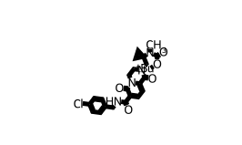 CN(C(=O)OC(C)(C)C)C1(CN2CCn3c(ccc(C(=O)NCc4ccc(Cl)cc4)c3=O)C2=O)CC1